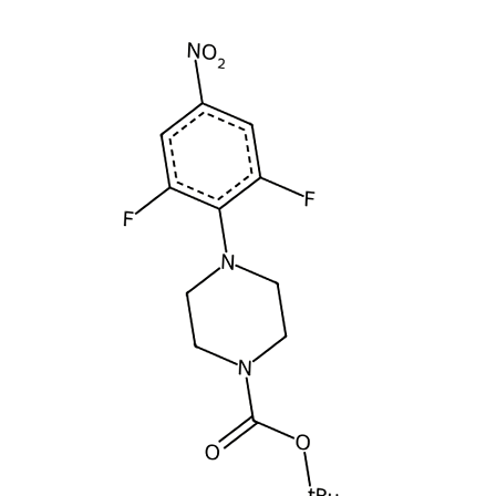 CC(C)(C)OC(=O)N1CCN(c2c(F)cc([N+](=O)[O-])cc2F)CC1